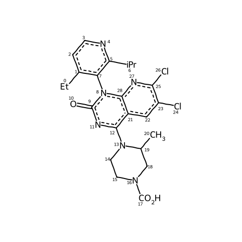 CCc1ccnc(C(C)C)c1-n1c(=O)nc(N2CCN(C(=O)O)CC2C)c2cc(Cl)c(Cl)nc21